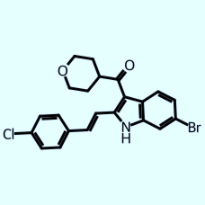 O=C(c1c(C=Cc2ccc(Cl)cc2)[nH]c2cc(Br)ccc12)C1CCOCC1